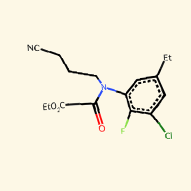 CCOC(=O)C(=O)N(CCCC#N)c1cc(CC)cc(Cl)c1F